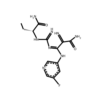 CC[C@@H](NC(=N)/N=C(/Nc1cncc(F)c1)C(=N)C(N)=O)C(N)=O